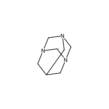 [CH]1N2CC3CN1CN(C3)C2